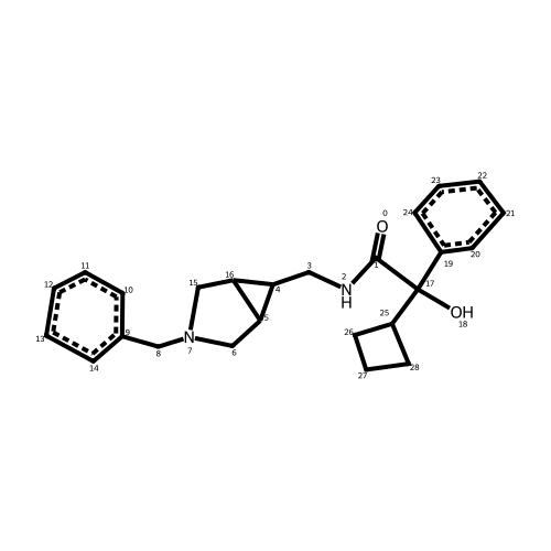 O=C(NCC1C2CN(Cc3ccccc3)CC12)C(O)(c1ccccc1)C1CCC1